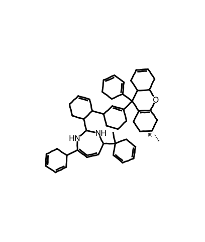 C[C@@H]1CCC2=C(C1)OC1CC=CCC1C2(C1=CC=CCC1)C1=CC(C2C=CCCC2C2NC(C3C=CC=CC3)=C=CC(C3(C)C=CC=CC3)N2)CCC1